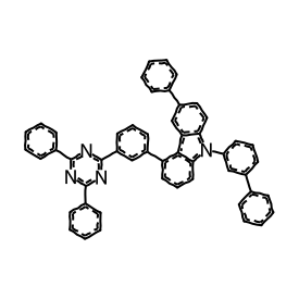 c1ccc(-c2cccc(-n3c4ccc(-c5ccccc5)cc4c4c(-c5cccc(-c6nc(-c7ccccc7)nc(-c7ccccc7)n6)c5)cccc43)c2)cc1